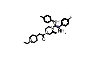 C=C1CN(C(=O)CC2CCN(CC)CC2)CCN1/C(Nc1ccc(C)cc1)=C(\N)c1ccc(F)cc1